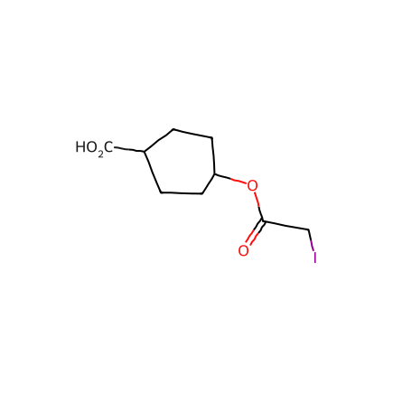 O=C(CI)OC1CCC(C(=O)O)CC1